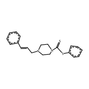 S=C(Sc1ccccc1)N1CCN(C/C=C/c2ccccc2)CC1